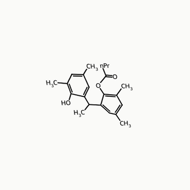 CCCC(=O)Oc1c(C)cc(C)cc1C(C)c1cc(C)cc(C)c1O